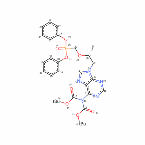 C[C@H](Cn1cnc2c(N(C(=O)OC(C)(C)C)C(=O)OC(C)(C)C)ncnc21)OCP(=O)(Oc1ccccc1)Oc1ccccc1